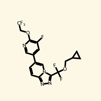 Fc1cc(-c2ccc3nnc(C(F)(F)OCC4CC4)n3c2)cnc1OCC(F)(F)F